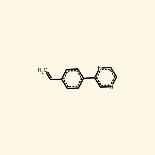 C=Cc1ccc(-c2cnccn2)cc1